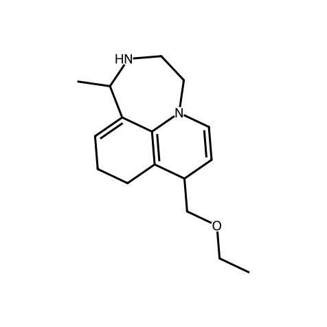 CCOCC1C=CN2CCNC(C)C3=CCCC1=C32